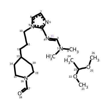 CN(C)/C=N/c1nccn1CCCC1CCN(C=O)CC1.COC(C)OC